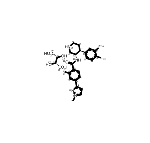 Cn1ccc(-c2ccc(C(=O)N[C@@H]3CNCC[C@H]3c3ccc(F)c(F)c3)c(F)c2)n1.O=C(O)[C@H](O)[C@@H](O)C(=O)O